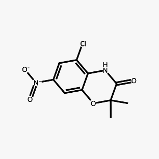 CC1(C)Oc2cc([N+](=O)[O-])cc(Cl)c2NC1=O